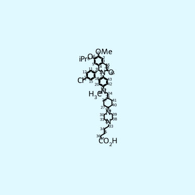 COc1cc2c(cc1OC(C)C)[C@H](c1ccc(Cl)cc1)N(c1ccc(N(C)CC3CCC(N4CCN(CCCCC(=O)O)CC4)CC3)cc1)C(=O)C2